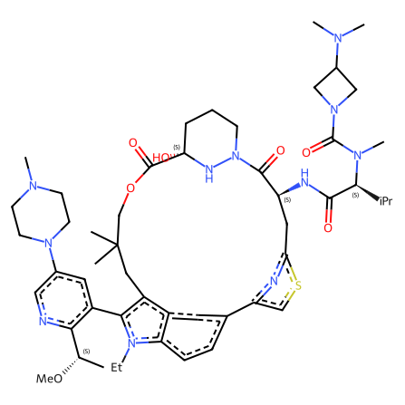 CCn1c(-c2cc(N3CCN(C)CC3)cnc2[C@H](C)OC)c2c3cc(ccc31)-c1csc(n1)C[C@H](NC(=O)[C@H](C(C)C)N(C)C(=O)N1CC(N(C)C)C1)C(=O)N1CCC[C@@](O)(N1)C(=O)OCC(C)(C)C2